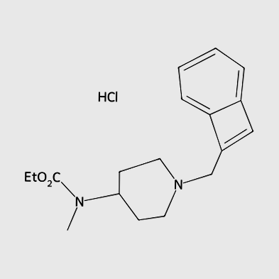 CCOC(=O)N(C)C1CCN(CC2=Cc3ccccc32)CC1.Cl